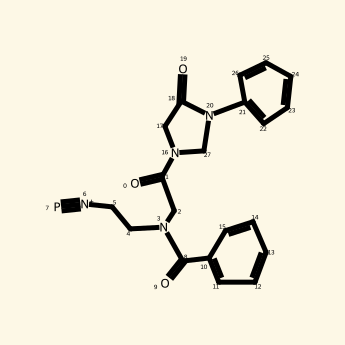 O=C(CN(CC[N+]#P)C(=O)c1ccccc1)N1CC(=O)N(c2ccccc2)C1